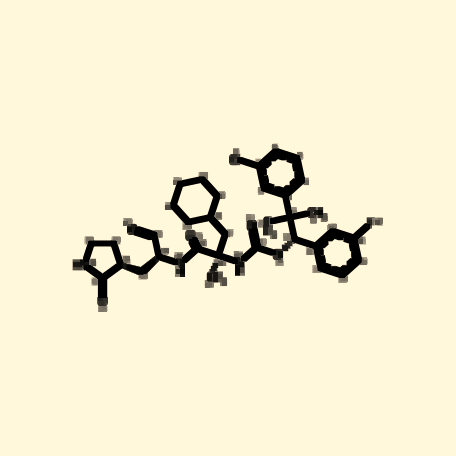 CC(C)(c1cccc(Cl)c1)[C@@H](OC(=O)N[C@](C)(CC1CCCCC1)C(=O)N[C@H](C=O)C[C@@H]1CCNC1=O)c1cccc(F)c1